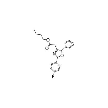 CCCCOC(=O)Cc1nc(-c2ccc(F)cc2)oc1-c1ccsc1